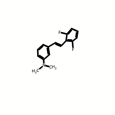 CN(C)c1cccc(C=Cc2c(F)cccc2F)c1